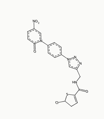 O=C(NCc1cn(-c2ccc(-n3cc([N+](=O)[O-])ccc3=O)cc2)nn1)C1=CCC(Cl)S1